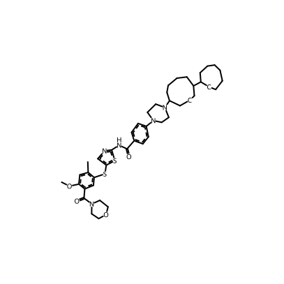 COc1cc(C)c(Sc2cnc(NC(=O)c3ccc(N4CCN(C5CCCCC(C6CCCCCCC6)CCC5)CC4)cc3)s2)cc1C(=O)N1CCOCC1